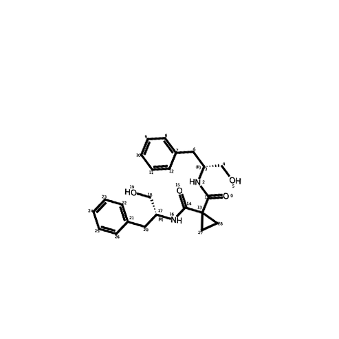 O=C(N[C@@H](CO)Cc1ccccc1)C1(C(=O)N[C@@H](CO)Cc2ccccc2)CC1